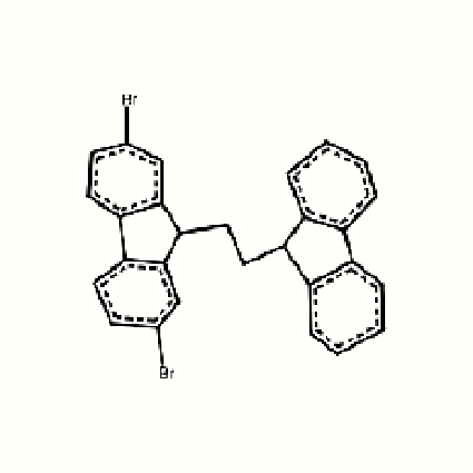 Brc1ccc2c(c1)C(CCC1c3ccccc3-c3ccccc31)c1cc(Br)ccc1-2